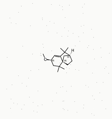 CO[C@H]1C=C2C(C)(C)[C@H]3CC[C@@]2(C3)C(C)(C)C1